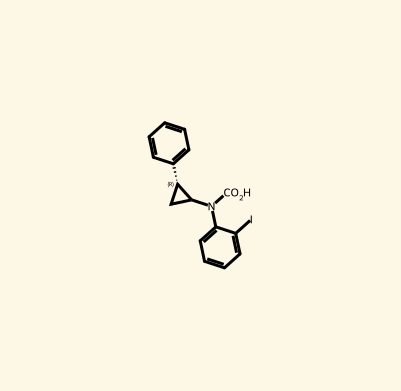 O=C(O)N(c1ccccc1I)C1C[C@@H]1c1ccccc1